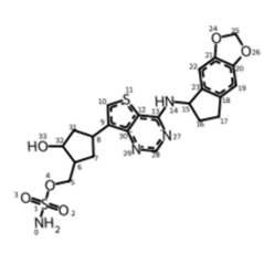 NS(=O)(=O)OCC1CC(c2csc3c(NC4CCc5cc6c(cc54)OCO6)ncnc23)CC1O